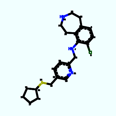 Clc1ccc2c(c1NCc1ccc(CSC3CCCC3)cn1)CCNCC2